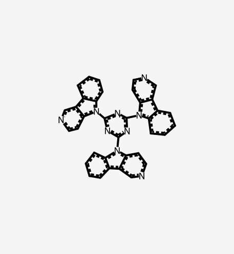 c1ccc2c(c1)c1cnccc1n2-c1nc(-n2c3ccccc3c3cnccc32)nc(-n2c3ccccc3c3cnccc32)n1